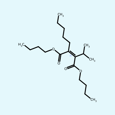 CCCCC/C(C(=O)OCCCC)=C(/C(=O)OCCCC)C(C)C